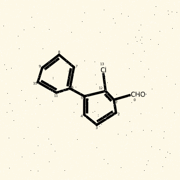 O=[C]c1cccc(-c2ccccc2)c1Cl